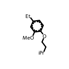 CCc1ccc(OCCC(C)C)c(OC)c1